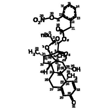 CCCCC(=O)O[C@]1(C(=O)COC(=O)Cc2ccccc2CO[N+](=O)[O-])[C@@H](C)C[C@H]2C3CCC4=CC(=O)C=C[C@]4(C)[C@@]3(F)[C@@H](O)C[C@@]21C